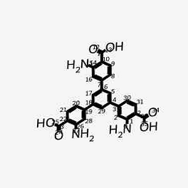 Nc1cc(-c2cc(-c3ccc(C(=O)O)c(N)c3)cc(-c3ccc(C(=O)O)c(N)c3)c2)ccc1C(=O)O